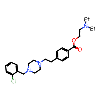 CCN(CC)CCOC(=O)c1ccc(CCN2CCN(Cc3ccccc3Cl)CC2)cc1